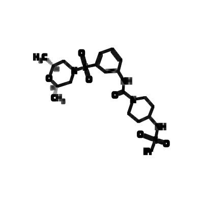 CC(C)S(=O)(=O)NC1CCN(C(=O)Nc2cccc(S(=O)(=O)N3C[C@@H](C)O[C@@H](C)C3)c2)CC1